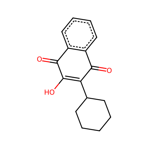 O=C1C(O)=C(C2CCCCC2)C(=O)c2ccccc21